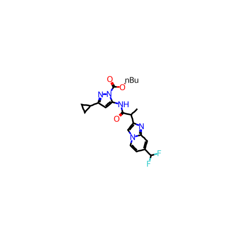 CCCCOC(=O)n1nc(C2CC2)cc1NC(=O)C(C)c1cn2ccc(C(F)F)cc2n1